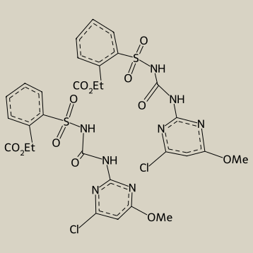 CCOC(=O)c1ccccc1S(=O)(=O)NC(=O)Nc1nc(Cl)cc(OC)n1.CCOC(=O)c1ccccc1S(=O)(=O)NC(=O)Nc1nc(Cl)cc(OC)n1